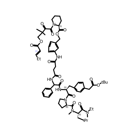 CC/C=C/C(=O)OCC(C)(C)C(=O)C(=O)N1CCCC[C@H]1C(=O)OCc1cccc(NC(=O)CCC(=O)NC(C(=O)N[C@@H](Cc2ccc(CC(=O)OC(C)(C)C)cc2)C(=O)N2CCC[C@@H]2C(=O)N(C)[C@@H](CC(C)C)C(=O)N(C)CC)c2ccccc2)c1